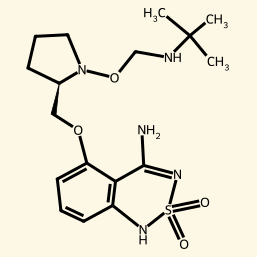 CC(C)(C)NCON1CCC[C@@H]1COc1cccc2c1C(N)=NS(=O)(=O)N2